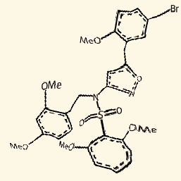 COc1ccc(CN(c2cc(-c3cc(Br)ccc3OC)on2)S(=O)(=O)c2c(OC)cccc2OC)c(OC)c1